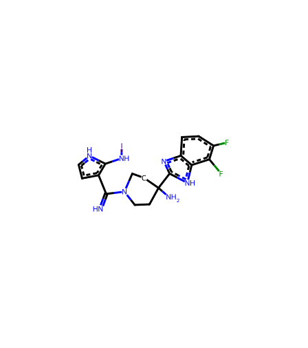 N=C(c1cc[nH]c1NI)N1CCC(N)(c2nc3ccc(F)c(F)c3[nH]2)CC1